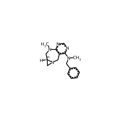 CN(Cc1ccccc1)c1ncnc2c1CN1C[C@@H]1CN2C